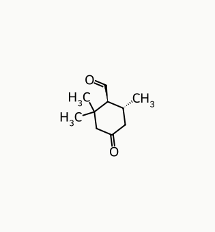 C[C@@H]1CC(=O)CC(C)(C)[C@H]1C=O